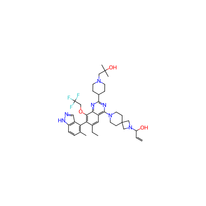 C=CC(O)N1CC2(CCN(c3nc(C4CCN(CC(C)(C)O)CC4)nc4c(OCC(F)(F)F)c(-c5c(C)ccc6[nH]ncc56)c(CC)cc34)CC2)C1